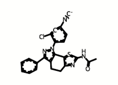 [C-]#[N+]c1ccc(-n2nc(-c3ccccc3)c3c2-c2sc(NC(C)=O)nc2CC3)c(Cl)c1